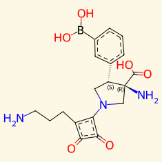 NCCCc1c(N2C[C@H](c3cccc(B(O)O)c3)[C@](N)(C(=O)O)C2)c(=O)c1=O